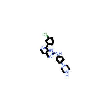 Clc1cccc(-c2nccc3cnc(Nc4ccc(N5CCNCC5)cc4)nc23)c1